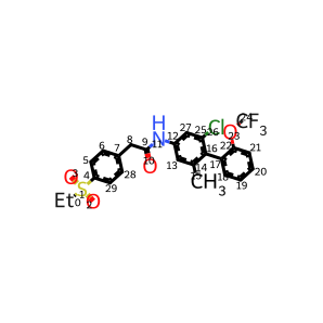 CCS(=O)(=O)c1ccc(CC(=O)Nc2cc(C)c(-c3ccccc3OC(F)(F)F)c(Cl)c2)cc1